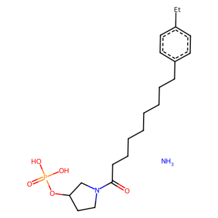 CCc1ccc(CCCCCCCCC(=O)N2CCC(OP(=O)(O)O)C2)cc1.N